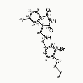 CCCOc1ccc(CNC=C2C(=O)NC(=O)c3ccc(I)cc32)nc1Br